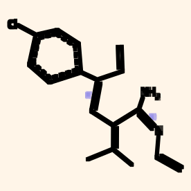 C=C/N=C(/N)C(/C=C(\C=C)c1ccc(Cl)cc1)=C(C)C